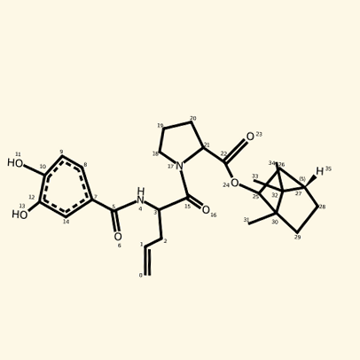 C=CCC(NC(=O)c1ccc(O)c(O)c1)C(=O)N1CCCC1C(=O)OC1C[C@@H]2CCC1(C)C2(C)C